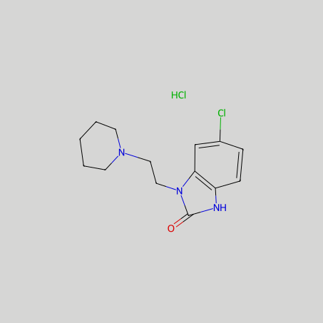 Cl.O=c1[nH]c2ccc(Cl)cc2n1CCN1CCCCC1